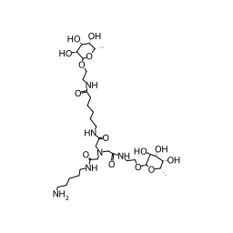 C[C@@H]1O[C@@H](OCCNC(=O)CCCCCNC(=O)CN(CC(=O)NCCCCCN)CC(=O)NCCO[C@@H]2O[C@@H](C)[C@@H](O)[C@@H](O)[C@@H]2O)[C@@H](O)[C@H](O)[C@@H]1O